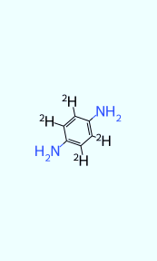 [2H]c1c([2H])c(N)c([2H])c([2H])c1N